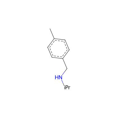 Cc1ccc(CNC(C)C)cc1